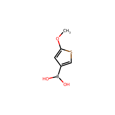 COc1cc(B(O)O)cs1